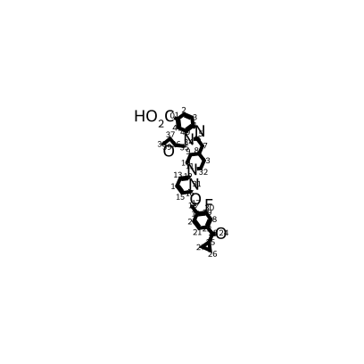 O=C(O)c1ccc2nc(CC3CCN(c4cccc(OCc5ccc(C(=O)C6CC6)cc5F)n4)CC3)n(CC3CCO3)c2c1